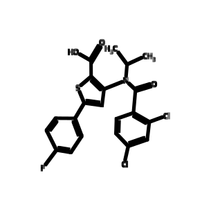 CC(C)N(C(=O)c1ccc(Cl)cc1Cl)c1cc(-c2ccc(F)cc2)sc1C(=O)O